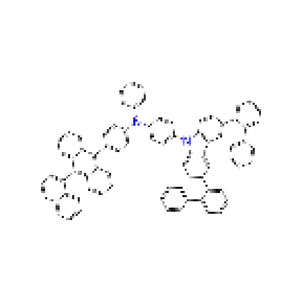 c1ccc(-c2ccccc2-c2ccc3c(c2)c2cc(-c4ccccc4-c4ccccc4)ccc2n3-c2ccc(N(c3ccccc3)c3ccc(-c4c5ccccc5c(-c5cccc6ccccc56)c5ccccc45)cc3)cc2)cc1